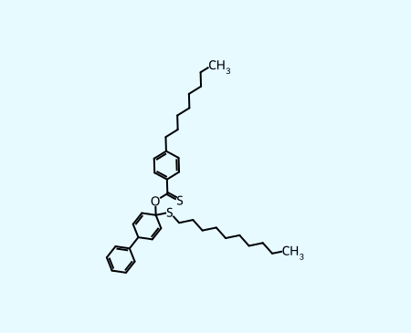 CCCCCCCCCCSC1(OC(=S)c2ccc(CCCCCCCC)cc2)C=CC(c2ccccc2)C=C1